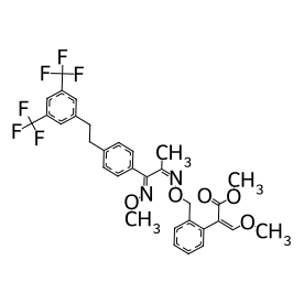 COC=C(C(=O)OC)c1ccccc1CON=C(C)C(=NOC)c1ccc(CCc2cc(C(F)(F)F)cc(C(F)(F)F)c2)cc1